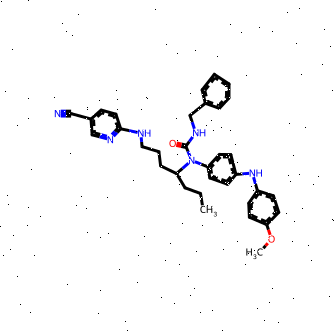 CCCC(CCCNc1ccc(C#N)cn1)N(C(=O)NCc1ccccc1)c1ccc(Nc2ccc(OC)cc2)cc1